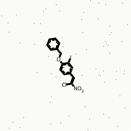 O=[N+]([O-])C(Cl)=Cc1ccc(OCc2ccccc2)c(I)c1